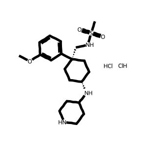 COc1cccc([C@]2(CNS(C)(=O)=O)CC[C@@H](NC3CCNCC3)CC2)c1.Cl.Cl